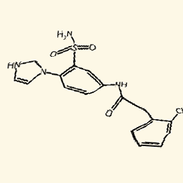 NS(=O)(=O)c1cc(NC(=O)Cc2ccccc2Cl)ccc1N1C=CNC1